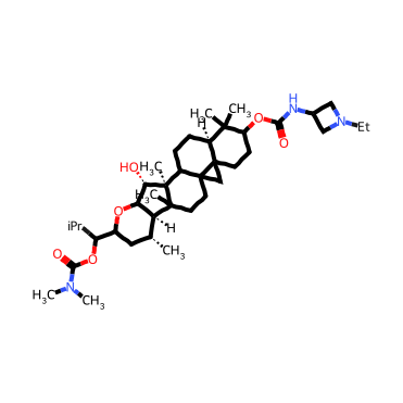 CCN1CC(NC(=O)OC2CCC34CC35CCC3(C)[C@@H]6C(OC(C(OC(=O)N(C)C)C(C)C)C[C@H]6C)[C@H](O)[C@@]3(C)C5CC[C@H]4C2(C)C)C1